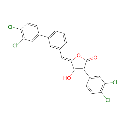 O=C1O/C(=C\c2cccc(-c3ccc(Cl)c(Cl)c3)c2)C(O)=C1c1ccc(Cl)c(Cl)c1